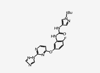 CC(C)(C)n1cc(NC(=O)Nc2cc(Oc3ccnc(-n4cncn4)n3)ccc2F)cn1